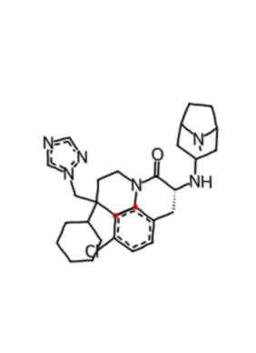 CN1C2CCC1CC(N[C@H](Cc1ccc(Cl)cc1)C(=O)N1CCC(Cn3cncn3)(C3CCCCC3)CC1)C2